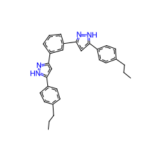 CCCc1ccc(-c2cc(-c3cccc(-c4cc(-c5ccc(CCC)cc5)[nH]n4)c3)n[nH]2)cc1